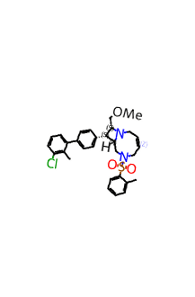 COC[C@@H]1[C@@H](c2ccc(-c3cccc(Cl)c3C)cc2)[C@@H]2CN(S(=O)(=O)c3ccccc3C)C/C=C\CN12